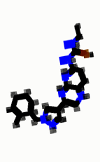 CCNC(=S)Nc1ccc2ncc(-c3cnn(Cc4ccccc4C)c3)nc2n1